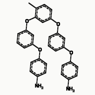 Cc1ccc(Oc2cccc(Oc3ccc(N)cc3)c2)cc1Oc1cccc(Oc2ccc(N)cc2)c1